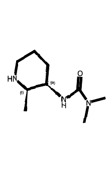 C[C@H]1NCCC[C@H]1NC(=O)N(C)C